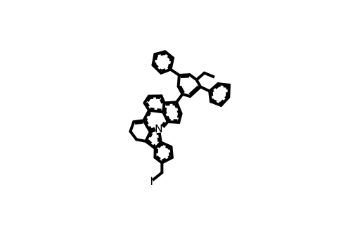 CCC1C=C(c2ccccc2)C=C(c2ccc3c4c2cccc4c2c4c(c5cc(CI)ccc5n43)CCC=2)C=C1c1ccccc1